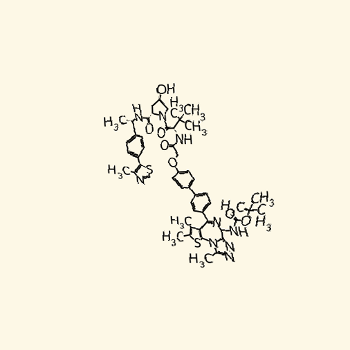 Cc1ncsc1-c1ccc([C@H](C)NC(=O)[C@@H]2C[C@@H](O)CN2C(=O)[C@@H](NC(=O)COc2ccc(-c3ccc(C4=NC(NC(=O)OC(C)(C)C)c5nnc(C)n5-c5sc(C)c(C)c54)cc3)cc2)C(C)(C)C)cc1